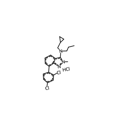 CCCN(CC1CC1)c1c2cccc(-c3ccc(Cl)cc3Cl)c2nn1C.Cl